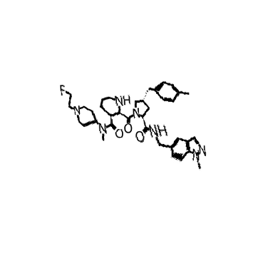 Cc1ccc(C[C@@H]2C[C@@H](C(=O)NCc3ccc4c(cnn4C)c3)N(C(=O)[C@@H]3NCCC[C@@H]3C(=O)N(C)C3CCN(CCF)CC3)C2)cc1